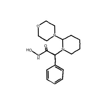 O=C(NO)C(c1ccccc1)N1CCCCC1N1CCOCC1